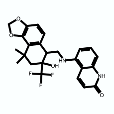 CC1(C)CC(O)(C(F)(F)F)C(CNc2cccc3[nH]c(=O)ccc23)c2ccc3c(c21)OCO3